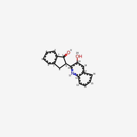 O=C1c2ccccc2CC1c1nc2ccccc2cc1O